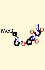 CO[C@H]1C[C@@H](CN2CCCC[C@@H]2COc2ccc3c(c2)CN(C2CCC(=O)NC2=O)C3=O)C1